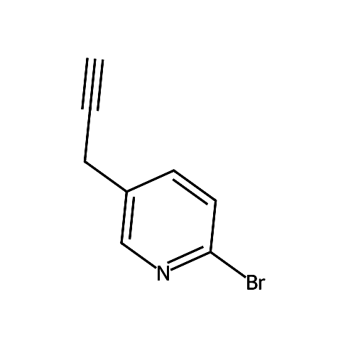 C#CCc1ccc(Br)nc1